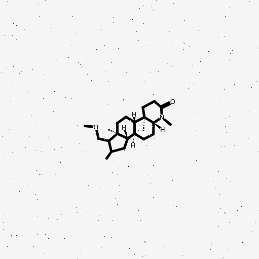 COCC1C(C)C[C@H]2[C@@H]3CC[C@H]4N(C)C(=O)CC[C@]4(C)[C@H]3CC[C@]12C